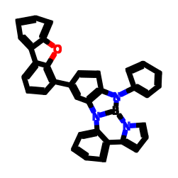 c1ccc(N2B3N(c4ccccc4-c4cccn43)c3cc(-c4cccc5c4oc4ccccc45)ccc32)cc1